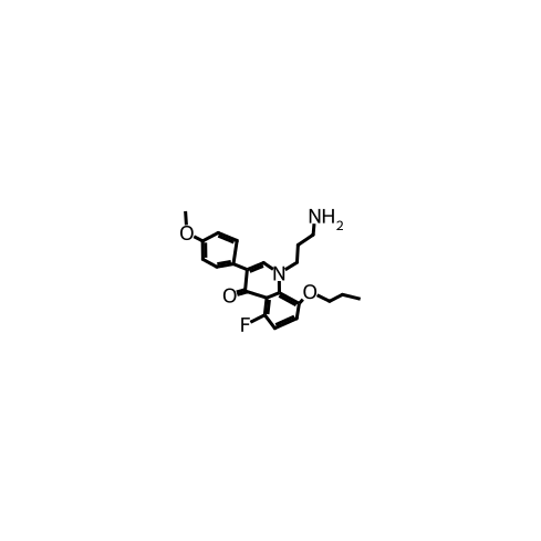 CCCOc1ccc(F)c2c(=O)c(-c3ccc(OC)cc3)cn(CCCN)c12